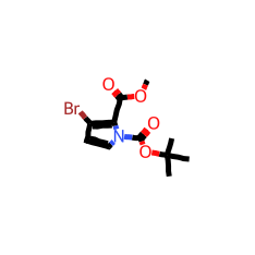 COC(=O)c1c(Br)ccn1C(=O)OC(C)(C)C